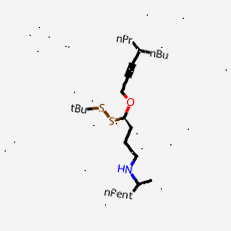 CCCCCC(C)NCCC[C@H](OCC#CC(CCC)CCCC)SSC(C)(C)C